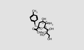 COC(=O)[C@@]1(Sc2ccc(C)cc2)C[C@H](O)[C@@H](N)[C@H]([C@H](O)[C@H](O)CO)O1